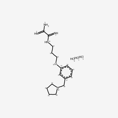 Cl.Cl.Cl.N=C(N)C(=N)NCCCOc1cccc(CN2CCCC2)c1